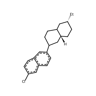 CC[C@@H]1CC[C@@H]2CC(c3ccc4cc(Cl)ccc4c3)CCC2C1